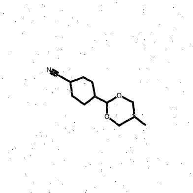 CC1COC(C2CCC(C#N)CC2)OC1